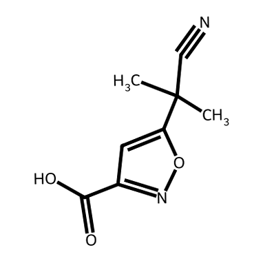 CC(C)(C#N)c1cc(C(=O)O)no1